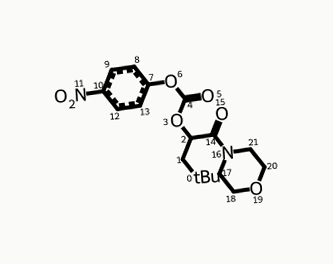 CC(C)(C)CC(OC(=O)Oc1ccc([N+](=O)[O-])cc1)C(=O)N1CCOCC1